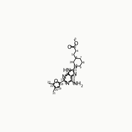 COC(=O)CCC1CCCN(c2nc3c(N)nc(-c4cc(C)c(C)o4)nc3[nH]2)C1